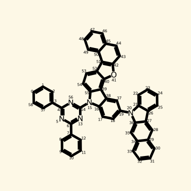 c1ccc(-c2nc(-c3ccccc3)nc(-n3c4ccc(-n5c6ccccc6c6cc7ccccc7cc65)cc4c4c5oc6ccc7ccccc7c6c5ccc43)n2)cc1